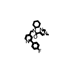 Cn1cnc(C(=O)N(Cc2ccnc(-c3ccc(F)cc3)c2)C2CCCCC2)c1